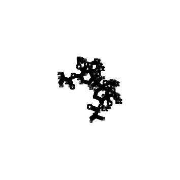 C=C(C)C(=O)OC1CCC(OCC)(C(C)(C)C2(OCC)CCC(OC(=O)C(=C)C)C(OCC)(OCC)C2(OCC)OCC)C(OCC)(OCC)C1(OCC)OCC